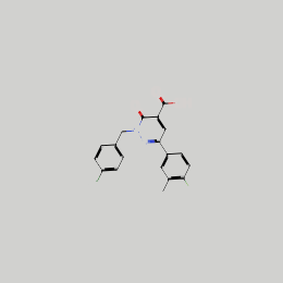 Cc1cc(-c2cc(C(=O)O)c(=O)n(Cc3ccc(Cl)cc3)n2)ccc1F